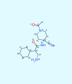 CC(=O)N1CCC(C#N)(NC(=O)C(CN)C2CCCCC2)CC1